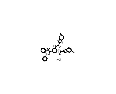 CN1CCc2nc(C(=O)NC3CC(C(O[SiH](c4ccccc4)c4ccccc4)C(C)(C)C)CCC3NC(=O)c3cc4cc(Cl)ccc4[nH]3)sc2C1.Cl